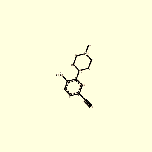 C#Cc1ccc([N+](=O)[O-])c(N2CCN(C)CC2)c1